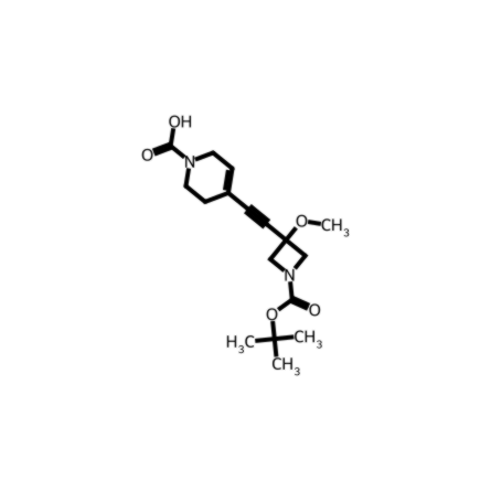 COC1(C#CC2=CCN(C(=O)O)CC2)CN(C(=O)OC(C)(C)C)C1